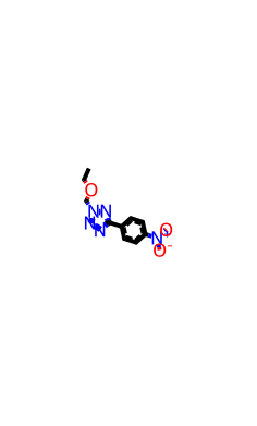 CCOCn1nnc(-c2ccc([N+](=O)[O-])cc2)n1